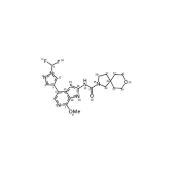 COc1ncc(-c2cnn(C(F)F)c2)c2sc(NC(=O)N3CCC4(CCOCC4)C3)nc12